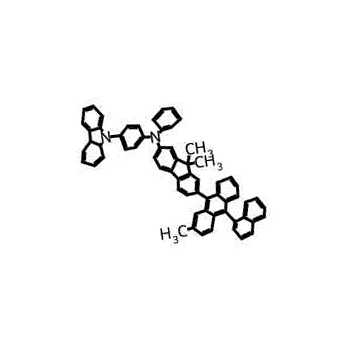 Cc1ccc2c(-c3cccc4ccccc34)c3ccccc3c(-c3ccc4c(c3)C(C)(C)c3cc(N(c5ccccc5)c5ccc(N6c7ccccc7C7C=CC=CC76)cc5)ccc3-4)c2c1